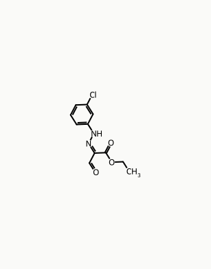 CCOC(=O)C(C=O)=NNc1cccc(Cl)c1